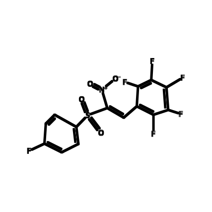 O=[N+]([O-])/C(=C\c1c(F)c(F)c(F)c(F)c1F)S(=O)(=O)c1ccc(F)cc1